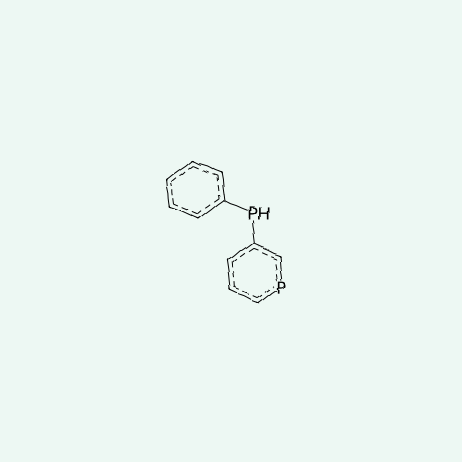 c1ccc(Pc2cccpc2)cc1